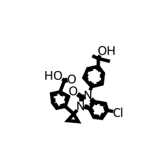 CC(C)(O)c1ccc(-n2c(=O)n(C3(c4cccc(C(=O)O)c4)CC3)c3ccc(Cl)cc32)cc1